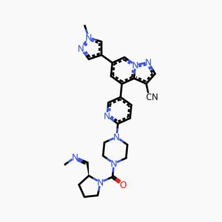 C/N=C\[C@@H]1CCCN1C(=O)N1CCN(c2ccc(-c3cc(-c4cnn(C)c4)cn4ncc(C#N)c34)cn2)CC1